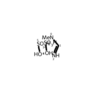 CNC=N.O=S(=O)(O)O.O=S(=O)(O)O